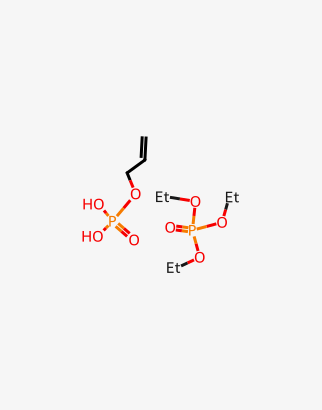 C=CCOP(=O)(O)O.CCOP(=O)(OCC)OCC